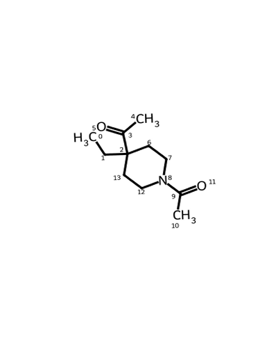 CCC1(C(C)=O)CCN(C(C)=O)CC1